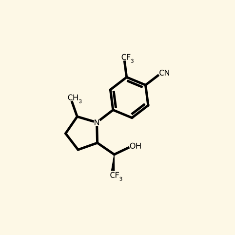 CC1CCC([C@@H](O)C(F)(F)F)N1c1ccc(C#N)c(C(F)(F)F)c1